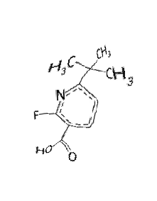 CC(C)(C)c1ccc(C(=O)O)c(F)n1